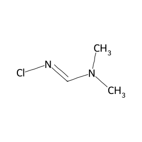 CN(C)C=NCl